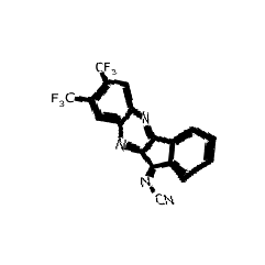 N#C/N=C1\c2ccccc2-c2nc3cc(C(F)(F)F)c(C(F)(F)F)cc3nc21